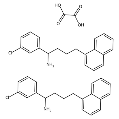 NC(CCCc1cccc2ccccc12)c1cccc(Cl)c1.NC(CCCc1cccc2ccccc12)c1cccc(Cl)c1.O=C(O)C(=O)O